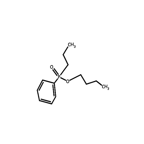 CCCCOP(=O)(CCC)c1ccccc1